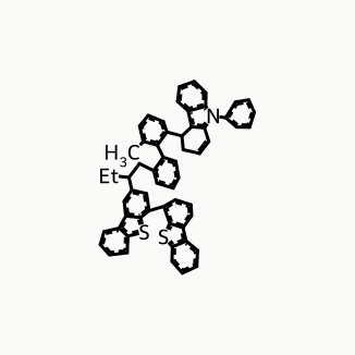 CCC(Cc1ccccc1-c1c(C)cccc1C1CC=Cc2c1c1ccccc1n2-c1ccccc1)c1cc(-c2cccc3c2sc2ccccc23)c2sc3ccccc3c2c1